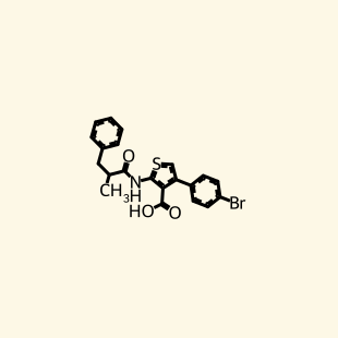 CC(Cc1ccccc1)C(=O)Nc1scc(-c2ccc(Br)cc2)c1C(=O)O